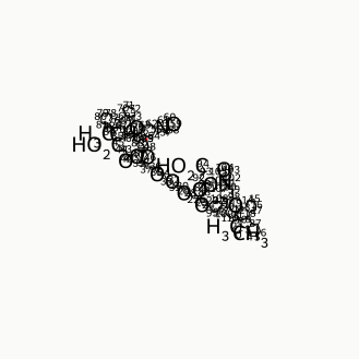 CC1(C)c2ccccc2-c2c1c1c(c3ccccc23)OC(c2ccc(OC(CCOCCOCCOCCC(COC(=O)CCC(=O)O)Oc3ccc(C4(c5ccc(N6CCOCC6)cc5)C=Cc5c6c(c7ccccc7c5O4)-c4ccccc4C6(C)C)cc3)COC(=O)CCC(=O)O)cc2)(c2ccc(N3CCOCC3)cc2)C=C1